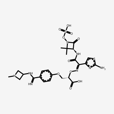 CN1CC(NC(=N)c2ccc(OC[C@H](O/N=C(\C(=O)N[C@@H]3C(=O)N(OS(=O)(=O)O)C3(C)C)c3csc(N)n3)C(=O)O)cc2)C1